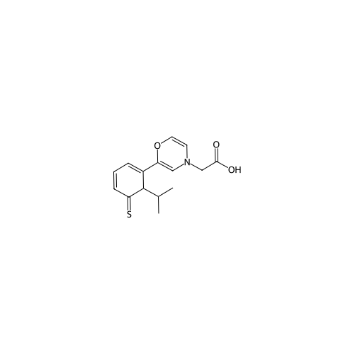 CC(C)C1C(=S)C=CC=C1C1=CN(CC(=O)O)C=CO1